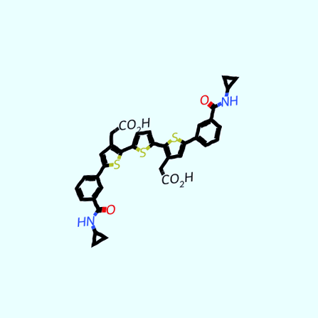 O=C(O)Cc1cc(-c2cccc(C(=O)NC3CC3)c2)sc1-c1ccc(-c2sc(-c3cccc(C(=O)NC4CC4)c3)cc2CC(=O)O)s1